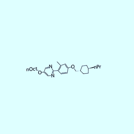 CCCCCCCCOc1cnc(-c2ccc(OC[C@H]3CC[C@H](CCC)CC3)cc2C)nc1